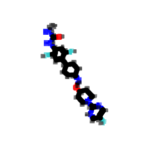 CC(C)NC(=O)Nc1cc(F)c(C2CCC(=NOC3CCN(c4ncc(F)cn4)CC3)CC2)cc1F